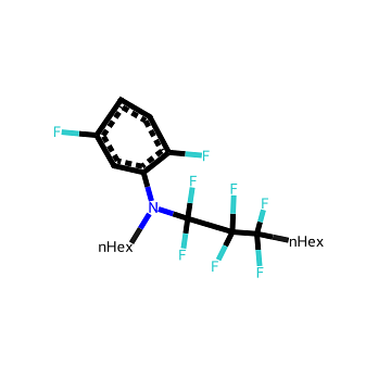 CCCCCCN(c1cc(F)ccc1F)C(F)(F)C(F)(F)C(F)(F)CCCCCC